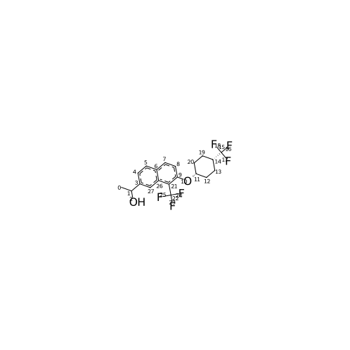 CC(O)c1ccc2ccc(O[C@H]3CC[C@@H](C(F)(F)F)CC3)c(C(F)(F)F)c2c1